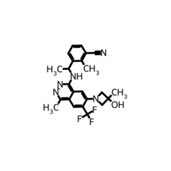 Cc1c(C#N)cccc1C(C)Nc1nnc(C)c2cc(C(F)(F)F)c(N3CC(C)(O)C3)cc12